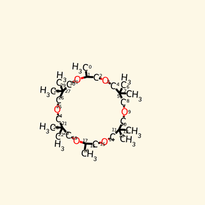 CC1COCC(C)(C)COCC(C)(C)COCC(C)OCC(C)(C)COCC(C)(C)CO1